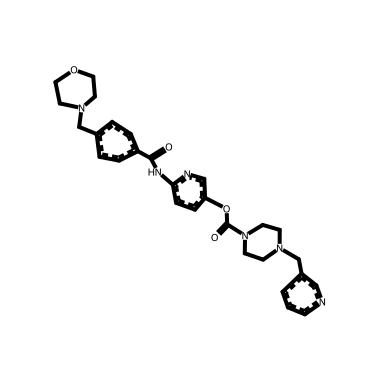 O=C(Nc1ccc(OC(=O)N2CCN(Cc3cccnc3)CC2)cn1)c1ccc(CN2CCOCC2)cc1